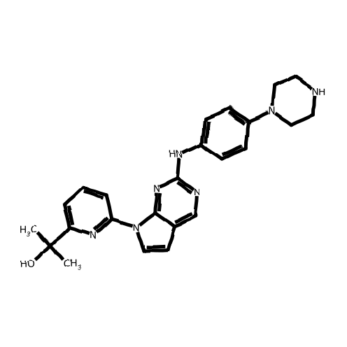 CC(C)(O)c1cccc(-n2ccc3cnc(Nc4ccc(N5CCNCC5)cc4)nc32)n1